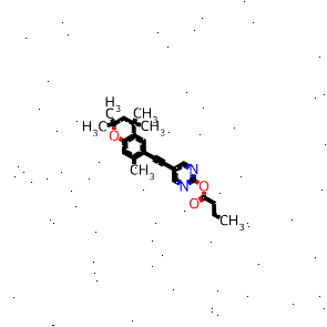 CCCC(=O)Oc1ncc(C#Cc2cc3c(cc2C)OC(C)(C)CC3(C)C)cn1